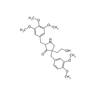 COc1ccc(CC2(CCO)CNC(Cc3cc(OC)c(OC)c(OC)c3)C2=O)cc1OC